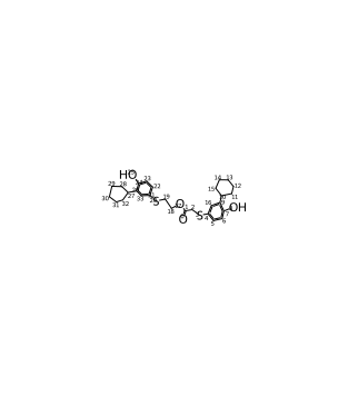 O=C(CSc1ccc(O)c(C2CCCCC2)c1)OCCSc1ccc(O)c(C2CCCCC2)c1